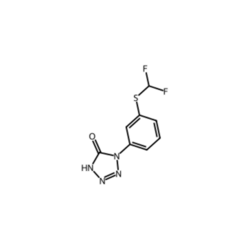 O=c1[nH]nnn1-c1cccc(SC(F)F)c1